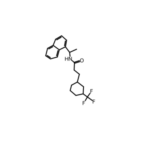 CC(NC(=O)CCC1CCCC(C(F)(F)F)C1)c1cccc2ccccc12